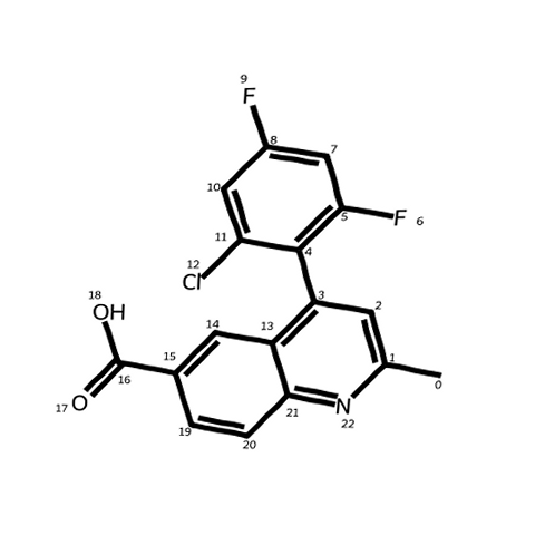 Cc1cc(-c2c(F)cc(F)cc2Cl)c2cc(C(=O)O)ccc2n1